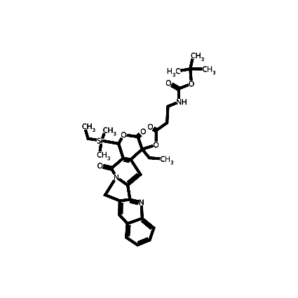 CCC1(OC(=O)CCNC(=O)OC(C)(C)C)C(=O)OC([Si](C)(C)CC)c2c1cc1n(c2=O)Cc2cc3ccccc3nc2-1